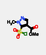 COC(=O)c1cnn(C)c1S(=O)(=O)Cl